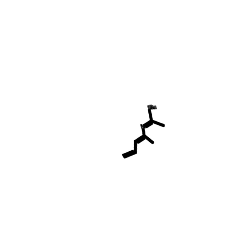 C=C/C=C(C)/N=C(\C)C(C)(C)C